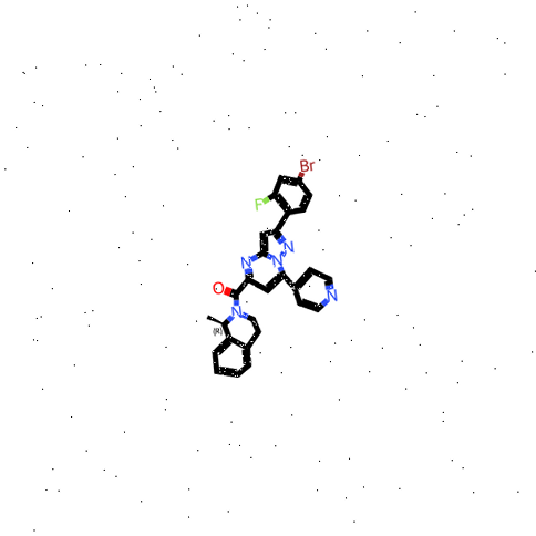 C[C@@H]1c2ccccc2CCN1C(=O)c1cc(-c2ccncc2)n2nc(-c3ccc(Br)cc3F)cc2n1